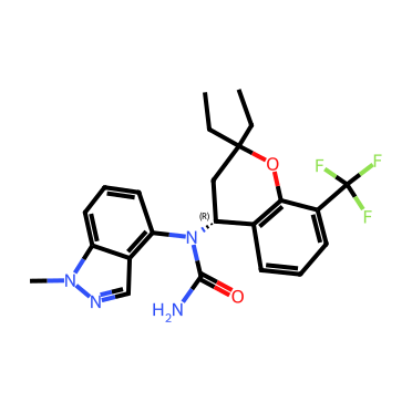 CCC1(CC)C[C@@H](N(C(N)=O)c2cccc3c2cnn3C)c2cccc(C(F)(F)F)c2O1